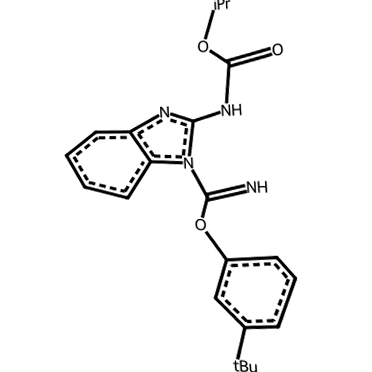 CC(C)OC(=O)Nc1nc2ccccc2n1C(=N)Oc1cccc(C(C)(C)C)c1